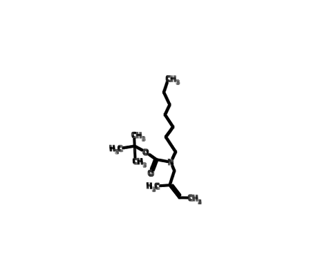 CC=C(C)CN(CCCCCCC)C(=O)OC(C)(C)C